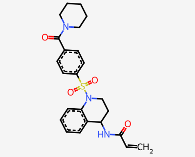 C=CC(=O)NC1CCN(S(=O)(=O)c2ccc(C(=O)N3CCCCC3)cc2)c2ccccc21